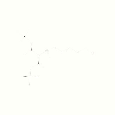 [2H]C([2H])(CCCCCN)N(C(=O)OC(C)(C)C)C(=O)OC(C)(C)C